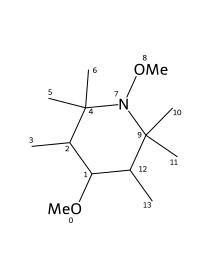 COC1C(C)C(C)(C)N(OC)C(C)(C)C1C